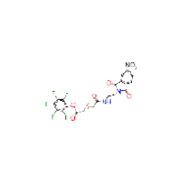 O=C(CSCC(=O)Oc1c(F)c(F)c(F)c(F)c1F)NCCN1C(=O)c2ccc([N+](=O)[O-])cc2C1=O